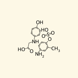 Cc1cc(N)ccc1OS(=O)(=O)O.O=C(O)CNc1ccc(O)cc1